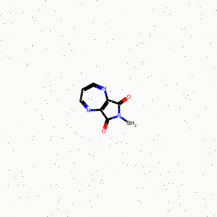 BN1C(=O)C2=C(N=CC=C=N2)C1=O